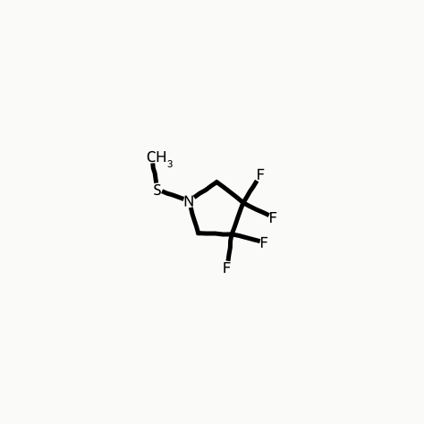 CSN1CC(F)(F)C(F)(F)C1